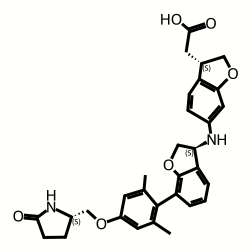 Cc1cc(OC[C@@H]2CCC(=O)N2)cc(C)c1-c1cccc2c1OC[C@H]2Nc1ccc2c(c1)OC[C@H]2CC(=O)O